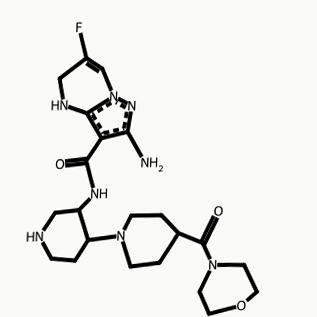 Nc1nn2c(c1C(=O)NC1CNCCC1N1CCC(C(=O)N3CCOCC3)CC1)NCC(F)=C2